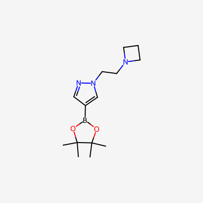 CC1(C)OB(c2cnn(CCN3CCC3)c2)OC1(C)C